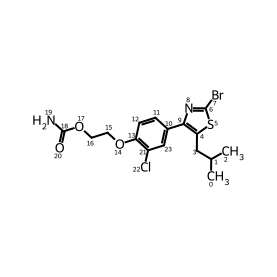 CC(C)Cc1sc(Br)nc1-c1ccc(OCCOC(N)=O)c(Cl)c1